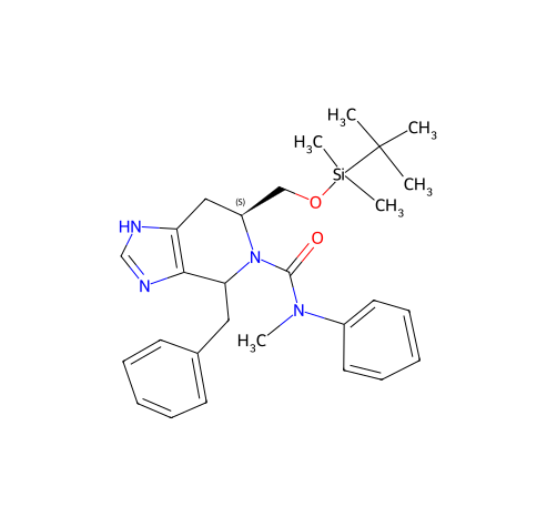 CN(C(=O)N1C(Cc2ccccc2)c2nc[nH]c2C[C@H]1CO[Si](C)(C)C(C)(C)C)c1ccccc1